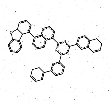 C1=CCCC(c2cccc(-c3nc(-c4ccc5c(c4)C=CCC5)nc(-c4cccc5c(C6=CC=CC7Oc8ccccc8C67)cccc45)n3)c2)=C1